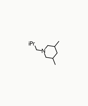 CC(C)CN1CC(C)CC(C)C1